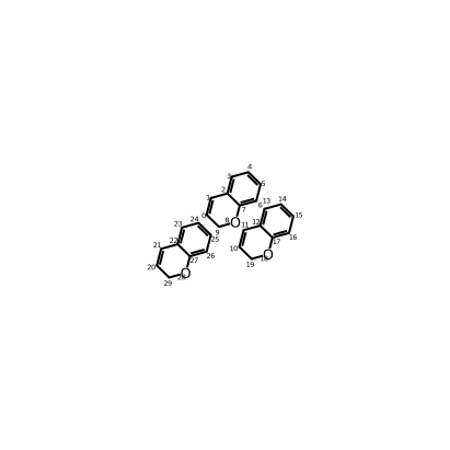 C1=Cc2ccccc2OC1.C1=Cc2ccccc2OC1.C1=Cc2ccccc2OC1